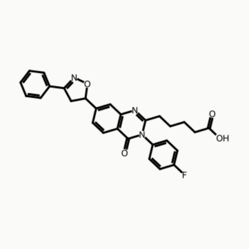 O=C(O)CCCCc1nc2cc(C3CC(c4ccccc4)=NO3)ccc2c(=O)n1-c1ccc(F)cc1